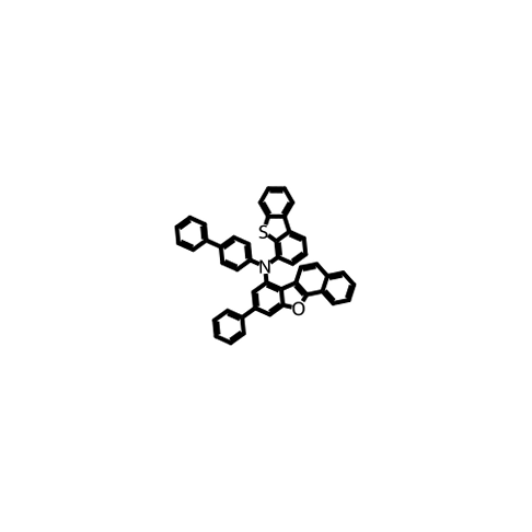 c1ccc(-c2ccc(N(c3cccc4c3sc3ccccc34)c3cc(-c4ccccc4)cc4oc5c6ccccc6ccc5c34)cc2)cc1